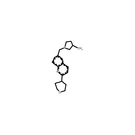 CC1CCN(Cc2ccc3nc(C4CCOCC4)ccc3c2)C1